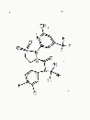 [2H]C([2H])([2H])N(C(=O)[C@H]1CCS(=O)(=O)N1c1cc(C(F)(F)F)cc(C)n1)c1ccc(F)c(Cl)c1